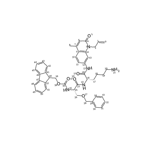 C=CCn1c(=O)cc(C)c2ccc(NC(=O)[C@H](CCCCN)NC(=O)[C@H](COCc3ccccc3)NC(=O)OCC3c4ccccc4-c4ccccc43)cc21